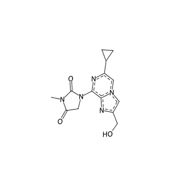 CN1C(=O)CN(c2nc(C3CC3)cn3cc(CO)nc23)C1=O